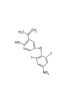 C=C(C)c1cc(Oc2c(I)cc([N+](=O)[O-])cc2I)ccc1O